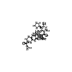 CCC1CN(C)C2=C(N[C@@](N)(Nc3cc4c(cc3OC)CN(C(=O)C3CC3)CC4)NC2=O)N1C1CCCC1